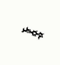 CC(C)=CC(C)=NNc1ccc(-n2ccnc2C)nn1